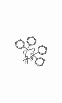 C[SiH]1O[Si](c2ccccc2)(c2ccccc2)O[Si](c2ccccc2)(c2ccccc2)O1